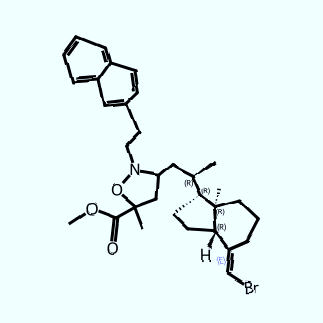 COC(=O)C1(C)CC(C[C@@H](C)[C@H]2CC[C@H]3/C(=C/Br)CCC[C@]23C)N(CCc2ccc3ccccc3c2)O1